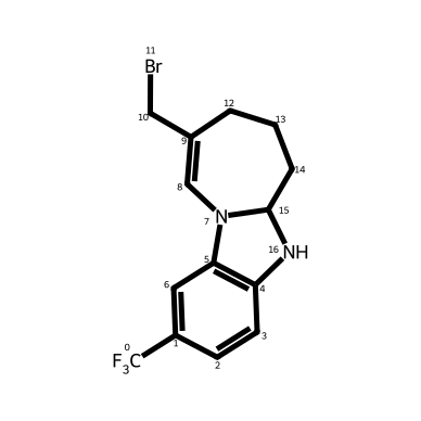 FC(F)(F)c1ccc2c(c1)N1C=C(CBr)CCCC1N2